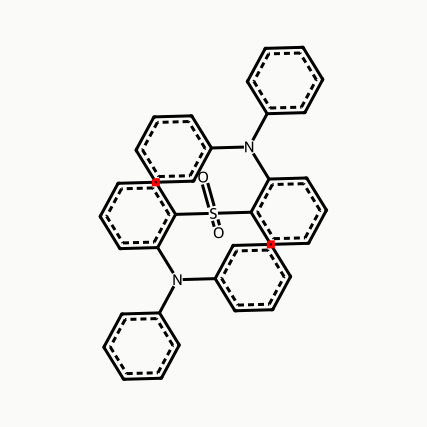 O=S(=O)(c1ccccc1N(c1ccccc1)c1ccccc1)c1ccccc1N(c1ccccc1)c1ccccc1